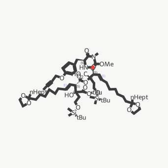 CC#CCOc1ccc(C[C@H](NC(=O)[C@@H](/C=C/CCCCCCC2(CCCCCCC)OCCO2)[C@](CCO[Si](C)(C)C(C)(C)C)(OC(=O)[C@@H](/C=C/CCCCCCC2(CCCCCCC)OCCO2)[C@@](O)(CCO[Si](C)(C)C(C)(C)C)C(=O)OC(C)(C)C)C(=O)O)C(=O)N(C)C(=O)OC)cc1